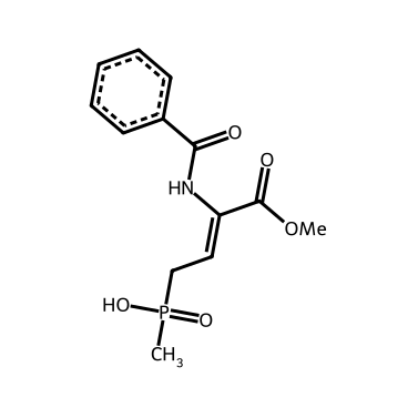 COC(=O)/C(=C/CP(C)(=O)O)NC(=O)c1ccccc1